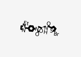 CCN1CCN=C1c1ccc(N2C[C@H](CNC(=O)c3ccc(Br)s3)OC2=O)cc1